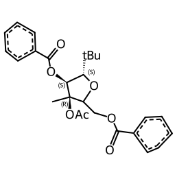 CC(=O)O[C@]1(C)C(COC(=O)c2ccccc2)O[C@@H](C(C)(C)C)[C@@H]1OC(=O)c1ccccc1